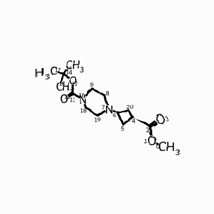 COC(=O)[C@H]1C[C@@H](N2CCN(C(=O)OC(C)(C)C)CC2)C1